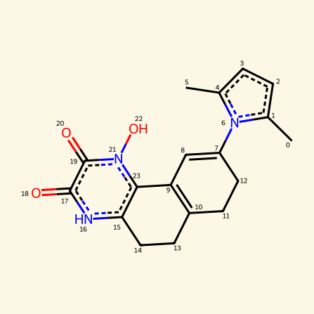 Cc1ccc(C)n1C1=CC2=C(CC1)CCc1[nH]c(=O)c(=O)n(O)c12